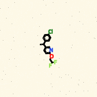 CC(c1ccc(Cl)cc1)c1ccc(OCC(F)F)nc1